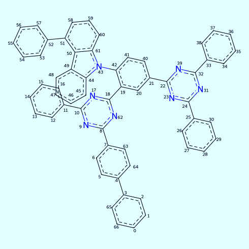 c1ccc(-c2ccc(-c3nc(-c4ccccc4)nc(-c4cc(-c5nc(-c6ccccc6)nc(-c6ccccc6)n5)ccc4-n4c5ccccc5c5c(-c6ccccc6)cccc54)n3)cc2)cc1